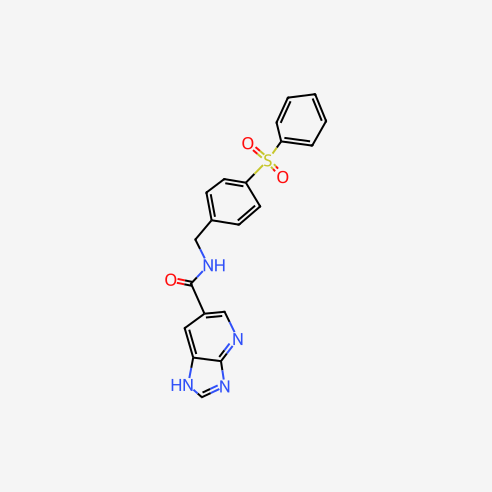 O=C(NCc1ccc(S(=O)(=O)c2ccccc2)cc1)c1cnc2nc[nH]c2c1